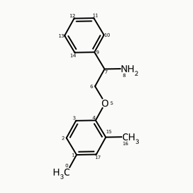 Cc1ccc(OCC(N)c2ccccc2)c(C)c1